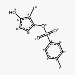 Cc1ccc(S(=O)(=O)Oc2csc(O)c2I)cc1